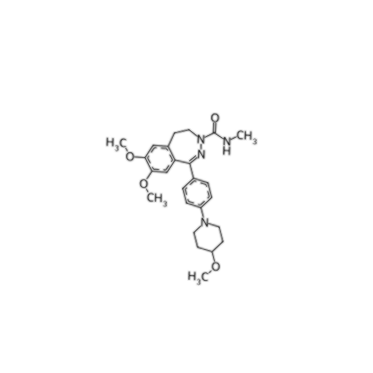 CNC(=O)N1CCc2cc(OC)c(OC)cc2C(c2ccc(N3CCC(OC)CC3)cc2)=N1